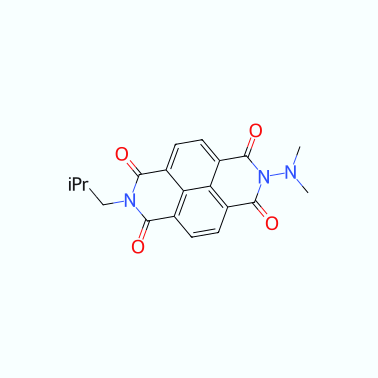 CC(C)CN1C(=O)c2ccc3c4c(ccc(c24)C1=O)C(=O)N(N(C)C)C3=O